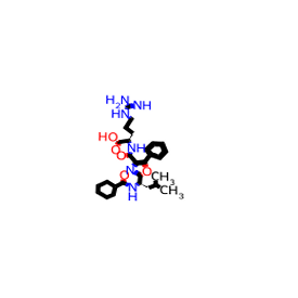 CC(C)C[C@H](NC(=O)C1CCCCC1)c1nc(C(=O)N[C@@H](CCCNC(=N)N)C(=O)O)c(-c2ccccc2)o1